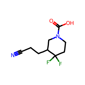 N#CCCC1CN(C(=O)O)CCC1(F)F